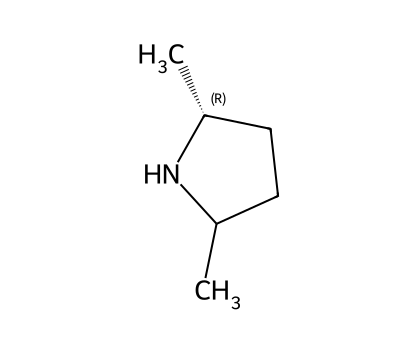 CC1CC[C@@H](C)N1